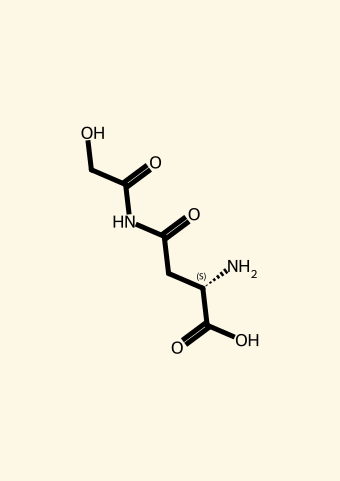 N[C@@H](CC(=O)NC(=O)CO)C(=O)O